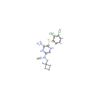 CCCN(CC1(C)CCC1)c1cnc(Sc2cccc(Cl)c2Cl)c(N)n1